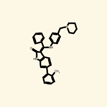 Cc1ccccc1-c1ccc2c(c1)NC(=O)/C2=C(/Nc1ccc(CN2CCCCC2)cc1)c1ccccc1